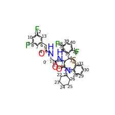 C[C@H](NC(=O)Cc1cc(F)cc(F)c1)C(=O)N[C@@H]1C(=O)N(C2CCCCC2)c2ccccc2S[C@H]1c1cc(F)ccc1F